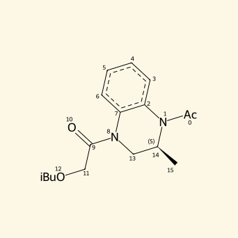 CC(=O)N1c2ccccc2N(C(=O)COCC(C)C)C[C@@H]1C